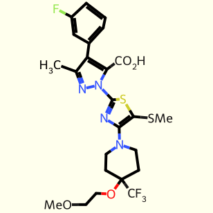 COCCOC1(C(F)(F)F)CCN(c2nc(-n3nc(C)c(-c4cccc(F)c4)c3C(=O)O)sc2SC)CC1